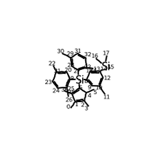 CC1=C(C)C(C)C([Si](c2cc(C)cc([Si](C)(C)C)c2)(c2cc(C)ccc2C)c2cc(C)ccc2C)=C1C